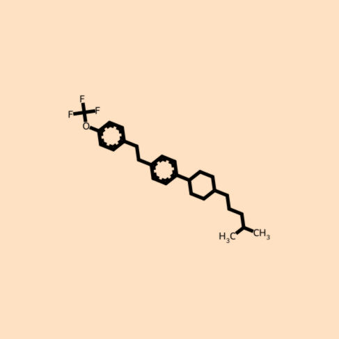 CC(C)CCCC1CCC(c2ccc(CCc3ccc(OC(F)(F)F)cc3)cc2)CC1